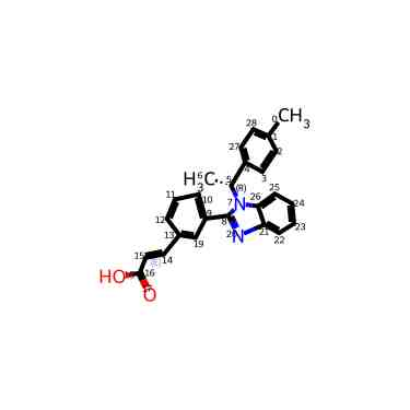 Cc1ccc([C@@H](C)n2c(-c3cccc(/C=C/C(=O)O)c3)nc3ccccc32)cc1